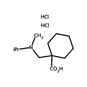 CC(C)N(C)CC1(C(=O)O)CCCCC1.Cl.Cl